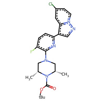 C[C@@H]1CN(c2nc(-c3cnn4ccc(Cl)cc34)ccc2F)C[C@H](C)N1C(=O)OC(C)(C)C